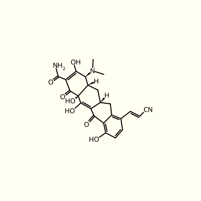 CN(C)[C@@H]1C(O)=C(C(N)=O)C(=O)[C@@]2(O)C(O)=C3C(=O)c4c(O)ccc(C=CC#N)c4C[C@H]3C[C@@H]12